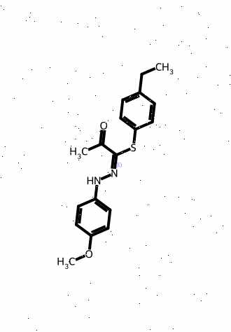 CCc1ccc(S/C(=N/Nc2ccc(OC)cc2)C(C)=O)cc1